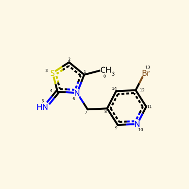 Cc1csc(=N)n1Cc1cncc(Br)c1